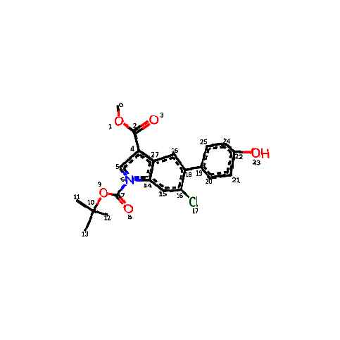 COC(=O)c1cn(C(=O)OC(C)(C)C)c2cc(Cl)c(-c3ccc(O)cc3)cc12